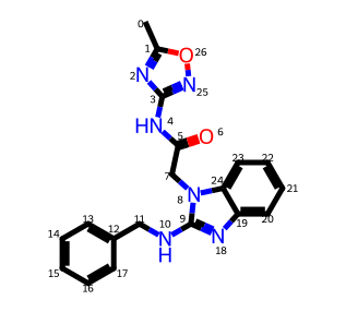 Cc1nc(NC(=O)Cn2c(NCc3ccccc3)nc3ccccc32)no1